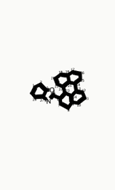 c1ccc2oc(-c3ccc4cccc5c6cccc7cccc(c3c45)c76)nc2c1